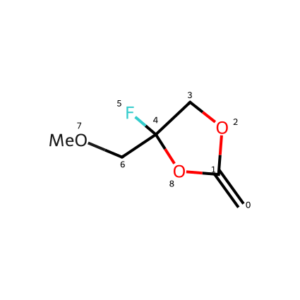 C=C1OCC(F)(COC)O1